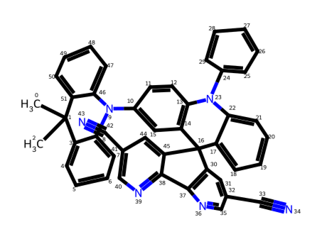 CC1(C)c2ccccc2N(c2ccc3c(c2)C2(c4ccccc4N3c3ccccc3)c3cc(C#N)cnc3-c3ncc(C#N)cc32)c2ccccc21